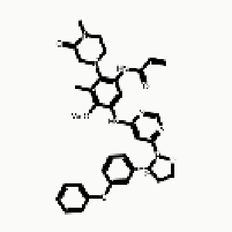 C=CC(=O)Nc1cc(Nc2cc(N3OCC[C@@H]3c3cccc(Oc4ccccc4)c3)ncn2)c(OC)c(C)c1N1CCN(C)C(=O)C1